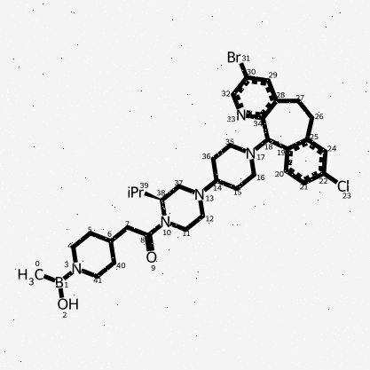 CB(O)N1CCC(CC(=O)N2CCN(C3CCN(C4c5ccc(Cl)cc5CCc5cc(Br)cnc54)CC3)C[C@@H]2C(C)C)CC1